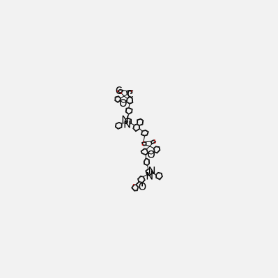 c1ccc(-c2nc(-c3ccc(-c4cccc5c4Oc4ccccc4C54c5ccccc5-c5c(-c6cccc(-c7ccc(-c8cc(-c9ccc(-c%10cccc%11c%10Oc%10ccccc%10C%11%10c%11ccccc%11-c%11ccccc%11%10)cc9)nc(-c9ccccc9)n8)c8ccccc78)c6)cccc54)cc3)cc(-c3ccc4c(c3)oc3ccccc34)n2)cc1